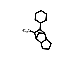 O=C(O)C1C2CC(C3CCCC32)C1C1CCCCC1